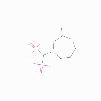 CC1CN(C(P(=O)(O)O)P(=O)(O)O)CCCS1